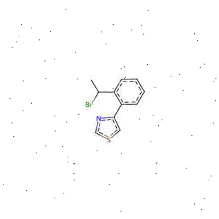 CC(Br)c1ccccc1-c1cscn1